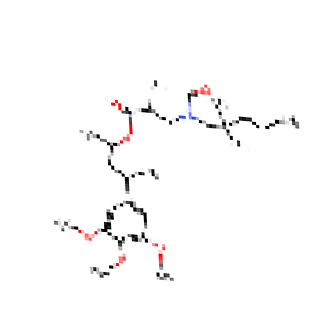 CCCC(C)(C)CN(C=O)CC(C)C(=O)OC(C)CC(C)c1cc(OC)c(OC)c(OC)c1